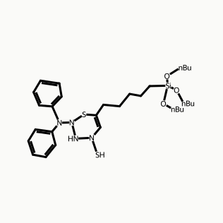 CCCCO[Si](CCCCCc1cn(S)[nH]n(N(c2ccccc2)c2ccccc2)s1)(OCCCC)OCCCC